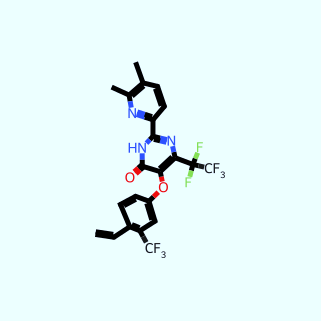 C=Cc1ccc(Oc2c(C(F)(F)C(F)(F)F)nc(-c3ccc(C)c(C)n3)[nH]c2=O)cc1C(F)(F)F